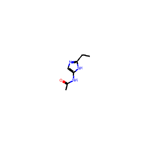 CCc1ncc(NC(C)=O)[nH]1